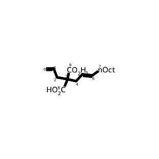 C=CCC(CC=CCCCCCCCC)(C(=O)O)C(=O)O